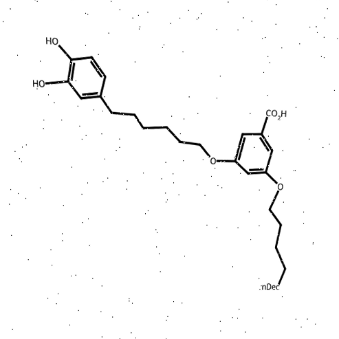 CCCCCCCCCCCCCCOc1cc(OCCCCCCc2ccc(O)c(O)c2)cc(C(=O)O)c1